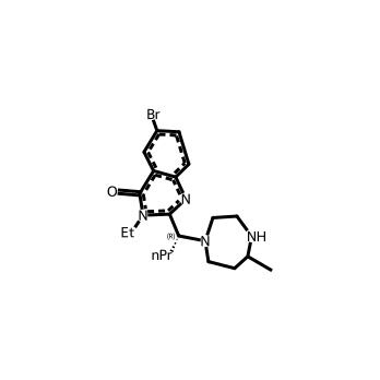 CCC[C@H](c1nc2ccc(Br)cc2c(=O)n1CC)N1CCNC(C)CC1